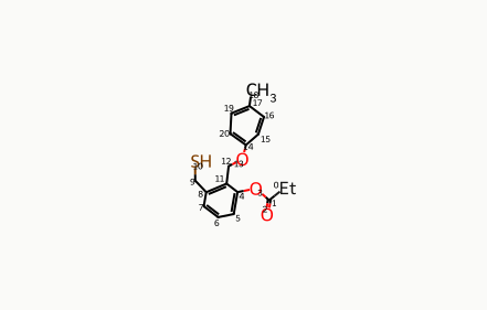 CCC(=O)Oc1cccc(CS)c1COc1ccc(C)cc1